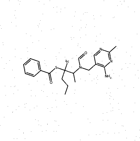 [2H]C(CCC)(SC(=O)c1ccccc1)C(C)N(C=O)Cc1cnc(C)nc1N